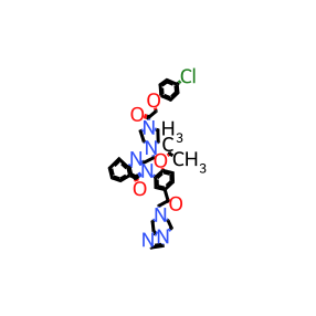 CC(C)Oc1ccc(C(=O)CN2CCn3ccnc3C2)cc1-n1c(CN2CCN(C(=O)COc3ccc(Cl)cc3)CC2)nc2ccccc2c1=O